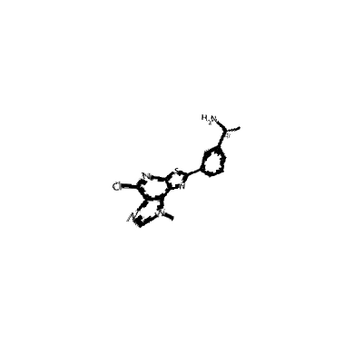 C[C@H](N)c1cccc(-c2nc3c(nc(Cl)c4ncn(C)c43)s2)c1